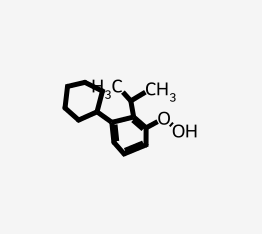 CC(C)c1c(OO)cccc1C1CCCCC1